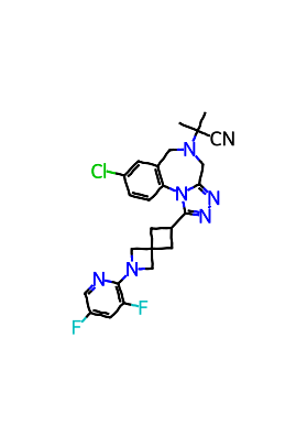 CC(C)(C#N)N1Cc2cc(Cl)ccc2-n2c(nnc2C2CC3(C2)CN(c2ncc(F)cc2F)C3)C1